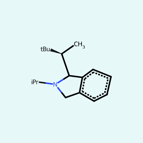 CC(C)N1Cc2ccccc2C1[C@H](C)C(C)(C)C